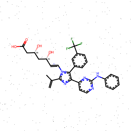 C=C(C)c1nc(-c2ccnc(Nc3ccccc3)n2)c(-c2cccc(C(F)(F)F)c2)n1/C=C/[C@@H](O)C[C@@H](O)CC(=O)O